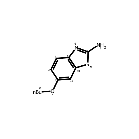 CCCCOc1ccc2nc(N)sc2c1